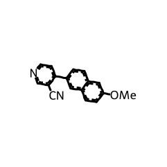 COc1ccc2cc(-c3ccncc3C#N)ccc2c1